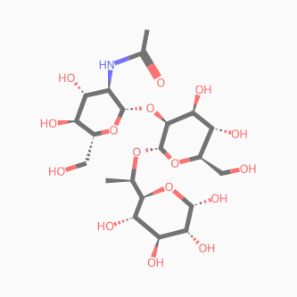 CC(=O)N[C@H]1[C@H](O[C@@H]2[C@@H](O[C@H](C)[C@H]3O[C@H](O)[C@H](O)[C@@H](O)[C@@H]3O)O[C@H](CO)[C@@H](O)[C@@H]2O)O[C@H](CO)[C@@H](O)[C@@H]1O